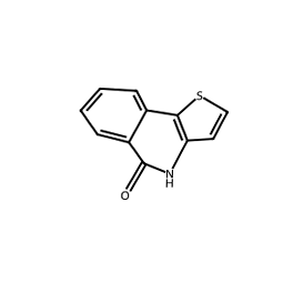 O=c1[nH]c2ccsc2c2ccccc12